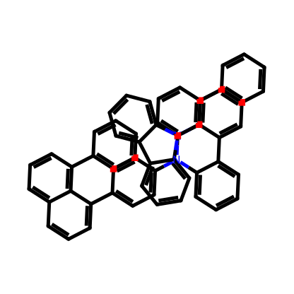 c1ccc(-c2cccc(N(c3ccc(-c4cccc5cccc(-c6ccccc6)c45)cc3)c3ccccc3-c3ccccc3-n3c4ccccc4c4ccccc43)c2)cc1